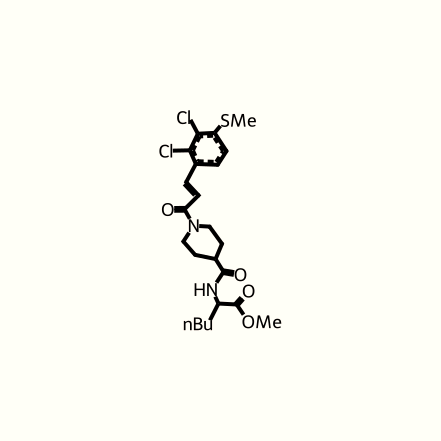 CCCCC(NC(=O)C1CCN(C(=O)/C=C/c2ccc(SC)c(Cl)c2Cl)CC1)C(=O)OC